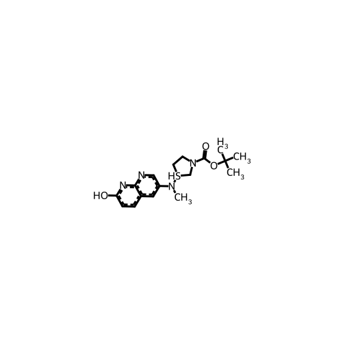 CN(c1cnc2nc(O)ccc2c1)[SH]1CCN(C(=O)OC(C)(C)C)C1